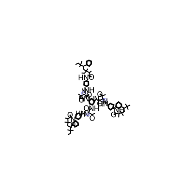 CCC(C)(C)C(CC(C)(C)C(C)C(=O)Nc1ccc(N/N=C(/C(C)=O)C(=O)Nc2cc(NC(=O)/C(=N\Nc3ccc(NC(=O)C(C)C(C)(C)CC(c4ccccc4)C(C)(C)C)cc3)C(C)=O)cc(NC(=O)/C(=N\Nc3ccc(NC(=O)C(C)C(C)(CC)CC(c4ccccc4)C(C)(C)CC)cc3)C(C)=O)c2)cc1)c1ccccc1